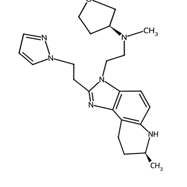 C[C@H]1CCc2c(ccc3c2nc(CCn2cccn2)n3CCN(C)[C@H]2CCOC2)N1